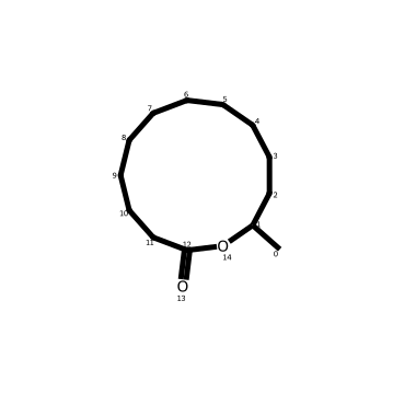 CC1CCCCCCCCCCC(=O)O1